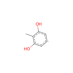 Cc1c(O)c[c]cc1O